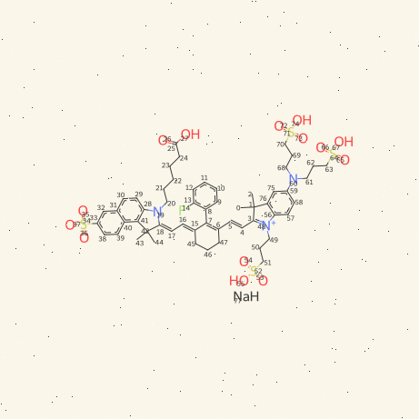 CC1(C)C(C=CC2=C(c3ccccc3F)C(=CC=C3N(CCCCCC(=O)O)c4ccc5cc(S(=O)(=O)[O-])ccc5c4C3(C)C)CCC2)=[N+](CCCS(=O)(=O)O)c2ccc(N(CCCS(=O)(=O)O)CCCS(=O)(=O)O)cc21.[NaH]